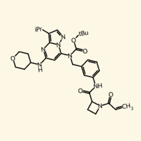 C=CC(=O)N1CCC1C(=O)Nc1cccc(CN(C(=O)OC(C)(C)C)c2cc(NC3CCOCC3)nc3c(C(C)C)cnn23)c1